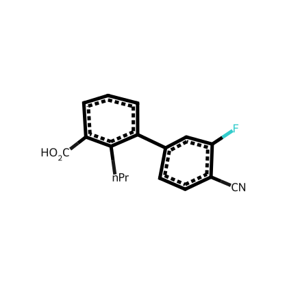 CCCc1c(C(=O)O)cccc1-c1ccc(C#N)c(F)c1